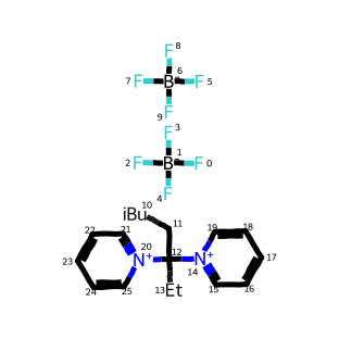 F[B-](F)(F)F.F[B-](F)(F)F.[CH2]C(CC)CC(CC)([n+]1ccccc1)[n+]1ccccc1